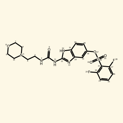 O=C(NCCN1CCOCC1)Nc1nc2cc(OS(=O)(=O)c3c(F)cccc3F)ccc2[nH]1